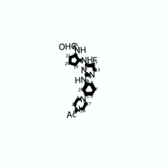 CC(=O)N1CCN(c2cccc(Nc3ncc(F)c(NC4CCCC4NC=O)n3)c2)CC1